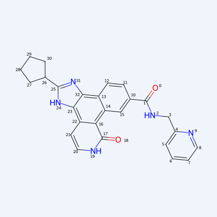 O=C(NCc1ccccn1)c1ccc2c(c1)c1c(=O)[nH]ccc1c1[nH]c(C3CCCC3)nc21